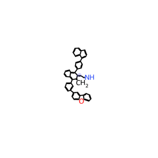 C=c1c(-c2cccc(-c3ccc4oc5ccccc5c4c3)c2)c2ccccc2c(-c2ccc(-c3cccc4ccccc34)cc2)/c1=C/C=N